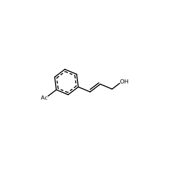 CC(=O)c1cccc(/C=C/CO)c1